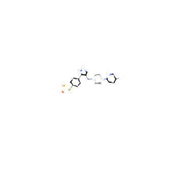 C[C@@H]1CN(Cc2c[nH]nc2-c2ccc(C[SH](=O)=O)cc2)CCN1c1ccc(C(F)(F)F)cn1